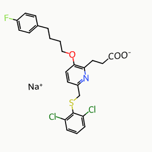 O=C([O-])CCc1nc(CSc2c(Cl)cccc2Cl)ccc1OCCCCc1ccc(F)cc1.[Na+]